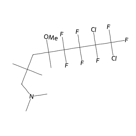 COC(C)(CC(C)(C)CN(C)C)C(F)(F)C(F)(F)C(F)(Cl)C(F)(F)Cl